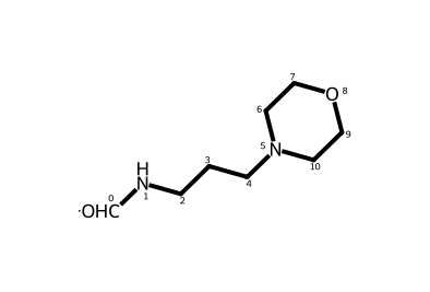 O=[C]NCCCN1CCOCC1